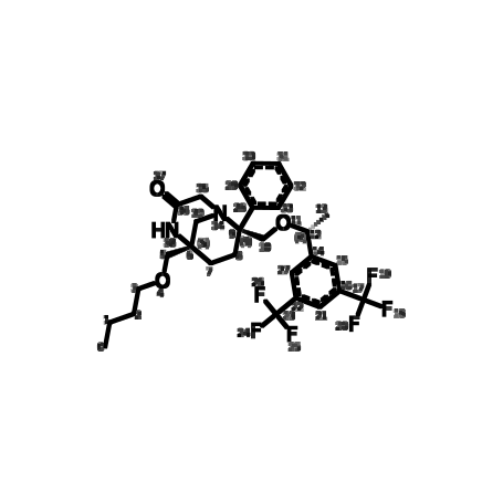 CCCCOC[C@@]12CC[C@@](CO[C@H](C)c3cc(C(F)(F)F)cc(C(F)(F)F)c3)(c3ccccc3)N(CC(=O)N1)C2